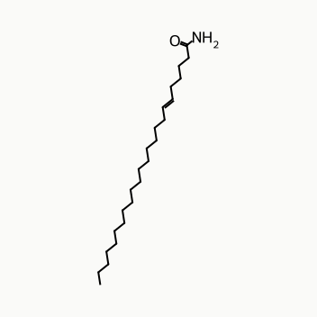 CCCCCCCCCCCCCCCCC/C=C/CCCCC(N)=O